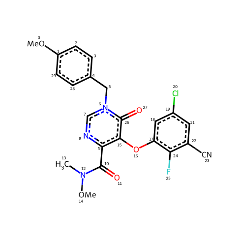 COc1ccc(Cn2cnc(C(=O)N(C)OC)c(Oc3cc(Cl)cc(C#N)c3F)c2=O)cc1